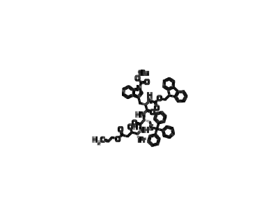 C=CCOC(=O)C[C@@H](O)[C@H](NC(=O)[C@@H](CSC(c1ccccc1)(c1ccccc1)c1ccccc1)NC(=O)[C@@H](Cc1cn(C(=O)OC(C)(C)C)c2ccccc12)NC(=O)OCC1c2ccccc2-c2ccccc21)C(C)C